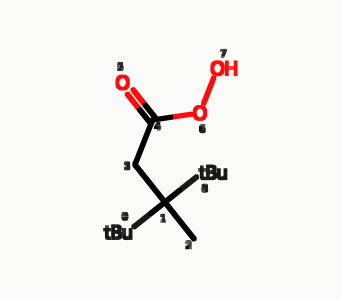 CC(C)(C)C(C)(CC(=O)OO)C(C)(C)C